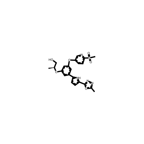 Cc1nnc(-c2ccc(-c3cc(Oc4ccc(S(C)(=O)=O)nc4)cc(O[C@@H](C)CO)c3)[nH]2)o1